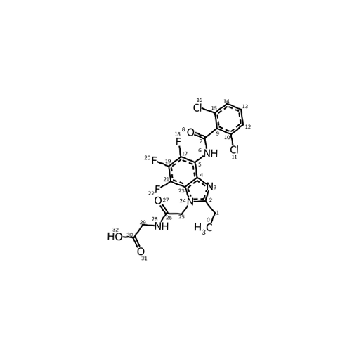 CCc1nc2c(NC(=O)c3c(Cl)cccc3Cl)c(F)c(F)c(F)c2n1CC(=O)NCC(=O)O